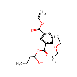 C=COC(=O)c1cccc(C(=O)OC(O)CCC)c1.CCOCC